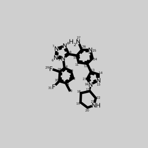 Cc1ccc(-n2nnnc2-c2cc(-c3cnn([C@@H]4CCCNC4)c3)cnc2N)c(F)c1F